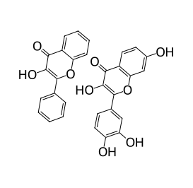 O=c1c(O)c(-c2ccc(O)c(O)c2)oc2cc(O)ccc12.O=c1c(O)c(-c2ccccc2)oc2ccccc12